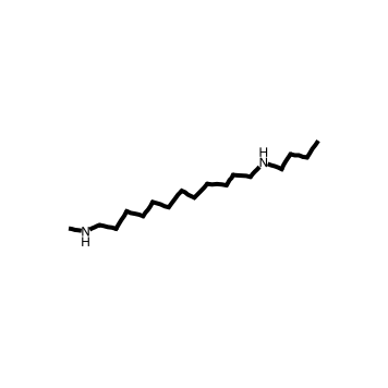 CCCCNCCCCCCCCCCCCNC